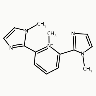 Cn1ccnc1-c1cccc(-c2nccn2C)[n+]1C